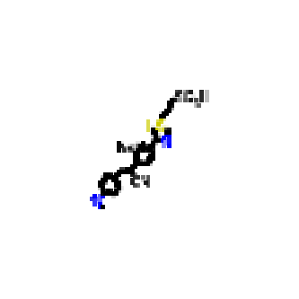 CN(C)c1ccc(/C=C(\C#N)c2ccc(C3=C[SH](CCCS(=O)(=O)O)C=N3)cc2)cc1.[NaH]